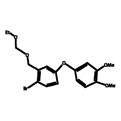 CCOCOCc1cc(Oc2ccc(OC)c(OC)c2)ccc1Br